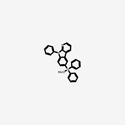 CO[Si](c1ccccc1)(c1ccccc1)c1ccc2c(c1)c1cccnc1n2-c1ccccc1